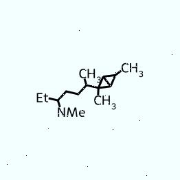 CCC(CCC(C)C1(C)C2C(C)C21)NC